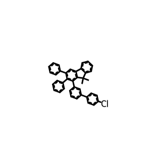 CC1(C)c2ccccc2-c2cc(-c3ccccc3)c(-c3ccccc3)c(-c3cccc(-c4ccc(Cl)cc4)c3)c21